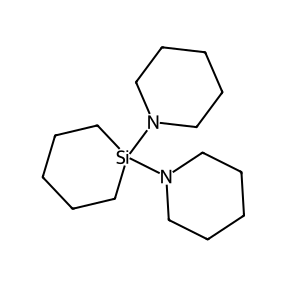 C1CCN([Si]2(N3CCCCC3)CCCCC2)CC1